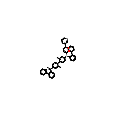 Cc1cc(-c2nc3ccccc3c3ccccc23)ccc1-c1ccc(N(c2ccc(-c3cccnc3)cc2)c2ccccc2-c2ccccc2)cc1C